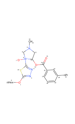 CCCCCCOc1nnc([N+]2([O-])CN(C)CC2OC(=O)c2cccc(CCC)c2)s1